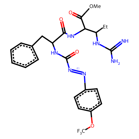 CCC(NC(=N)N)C(NC(=O)C(Cc1ccccc1)NC(=O)/N=N/c1ccc(OC(F)(F)F)cc1)C(=O)OC